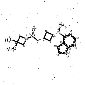 COC1(C)CN([S+]([O-])C[C@H]2C[C@@H](N(C)c3ncnc4[nH]ccc34)C2)C1